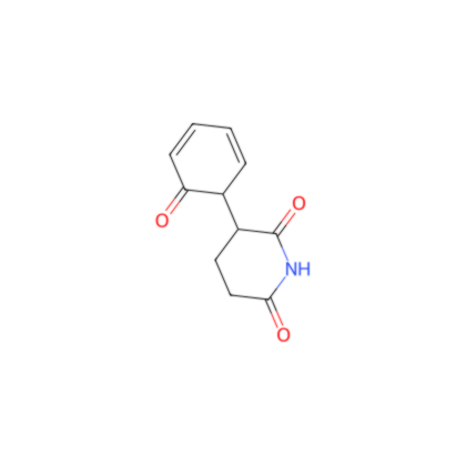 O=C1CCC(C2C=CC=CC2=O)C(=O)N1